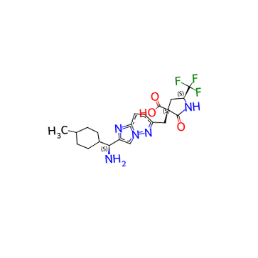 CC1CCC([C@H](N)c2cn3nc(C[C@@]4(C(=O)O)C[C@@H](C(F)(F)F)NC4=O)ccc3n2)CC1